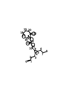 C=CCC[C@@H]1[C@H](CCC)[C@@H]1COC(=O)ON1COCCCC1=O